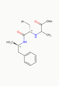 COC(=O)C(C)N[C@@H](CC(C)C)C(=O)N[C@@H](Cc1ccccc1)C(=O)O